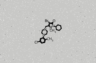 Cc1ccc(Cl)cc1N1CCN(Cc2c(Br)c(=O)n(C3CCCCC3)n2C)CC1